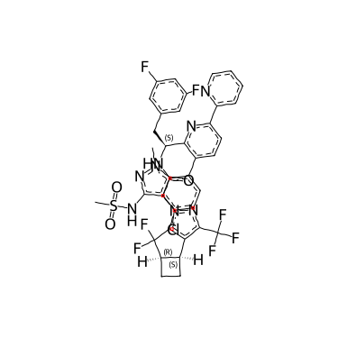 Cn1nc(NS(C)(=O)=O)c2c(Cl)ccc(-c3ccc(-c4ccccn4)nc3[C@H](Cc3cc(F)cc(F)c3)NC(=O)Cn3nc(C(F)(F)F)c4c3C(F)(F)[C@@H]3CC[C@H]43)c21